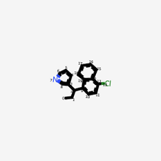 CCC(c1cccnc1)c1ccc(Cl)c2ccccc12